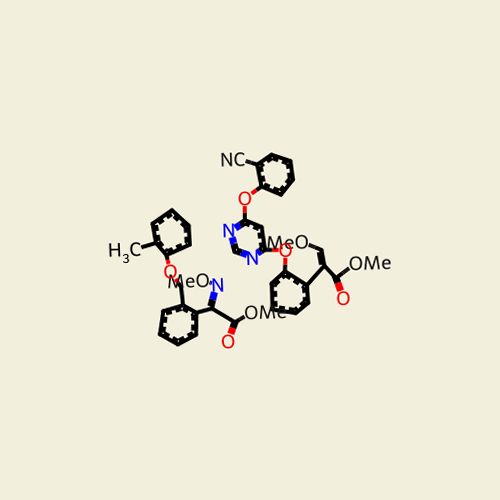 CO/C=C(/C(=O)OC)c1ccccc1Oc1cc(Oc2ccccc2C#N)ncn1.CO/N=C(/C(=O)OC)c1ccccc1COc1ccccc1C